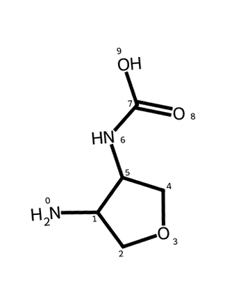 NC1COCC1NC(=O)O